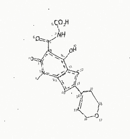 Cn1c(=O)c(C(=O)NC(=O)O)c(O)c2sc(C3=CCOCC3)cc21